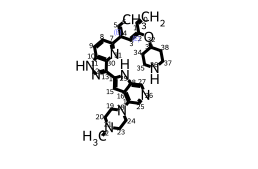 C=C/C(=C\C(=C/C)c1ccc2[nH]nc(-c3cc4c(N5CCN(C)CC5)cncc4[nH]3)c2n1)OC1CCNCC1